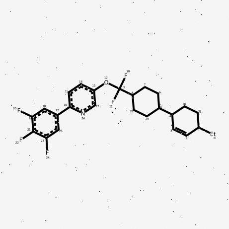 CCC1C=CC(C2CCC(C(F)(F)Oc3ccc(-c4cc(F)c(F)c(F)c4)nc3)CC2)CC1